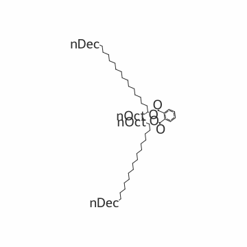 CCCCCCCCCCCCCCCCCCCCCCCCCC(CCCCCCCC)OC(=O)c1ccccc1C(=O)OC(CCCCCCCC)CCCCCCCCCCCCCCCCCCCCCCCCC